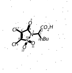 CCCCC(C(=O)O)N1C(=O)C(Cl)=C(Cl)S1(=O)=O